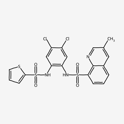 Cc1cnc2c(S(=O)(=O)Nc3cc(Cl)c(Cl)cc3NS(=O)(=O)c3cccs3)cccc2c1